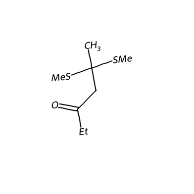 CCC(=O)CC(C)(SC)SC